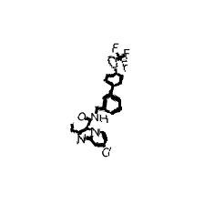 CCc1nc2cc(Cl)ccn2c1C(=O)NCc1cccc(-c2ccc(OC(F)(F)F)cc2)c1